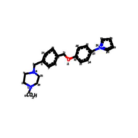 O=C(O)N1CCN(Cc2ccc(COc3ccc(-n4cccc4)cc3)cc2)CC1